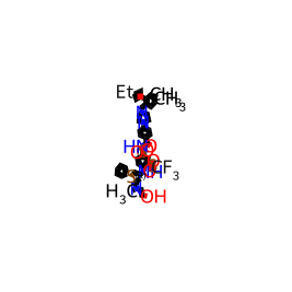 CCC12CC(C3=C(CN4CCN(c5ccc(C(=O)NS(=O)(=O)c6ccc(N[C@H](CCN(C)CCO)CSc7ccccc7)c(S(=O)(=O)C(F)(F)F)c6)cc5)CC4)CCC(C)(C)C3)(C1)C2